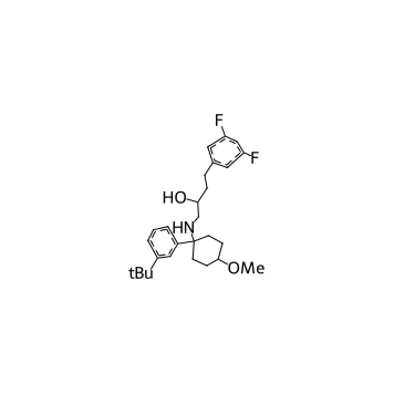 COC1CCC(NCC(O)CCc2cc(F)cc(F)c2)(c2cccc(C(C)(C)C)c2)CC1